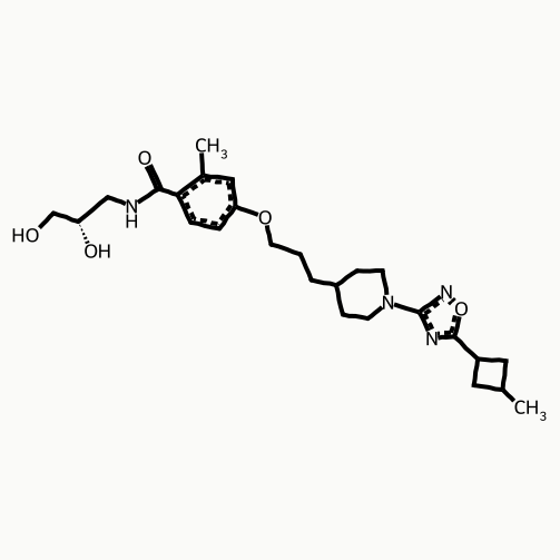 Cc1cc(OCCCC2CCN(c3noc(C4CC(C)C4)n3)CC2)ccc1C(=O)NC[C@H](O)CO